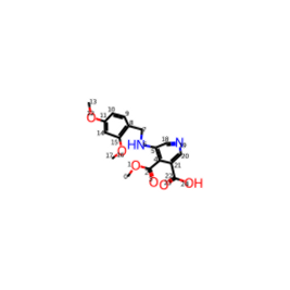 COC(=O)c1c(NCc2ccc(OC)cc2OC)cncc1C(=O)O